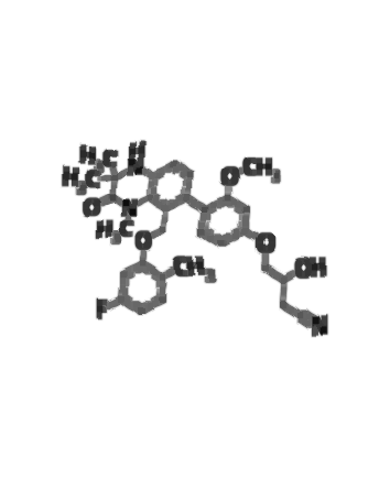 COc1cc(OCC(O)CC#N)ccc1-c1ccc2c(c1COc1cc(F)ccc1C)N(C)C(=O)C(C)(C)N2